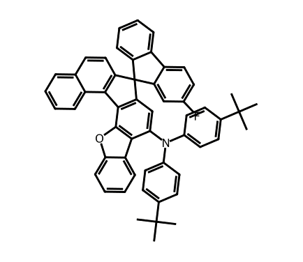 CC(C)(C)c1ccc(N(c2ccc(C(C)(C)C)cc2)c2cc3c(c4oc5ccccc5c24)-c2c(ccc4ccccc24)C32c3ccccc3-c3ccc(F)cc32)cc1